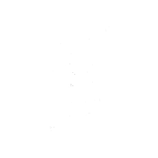 CC(O)(CCCO)c1cc(-c2ccc(F)cc2)n(-c2ccccc2)n1